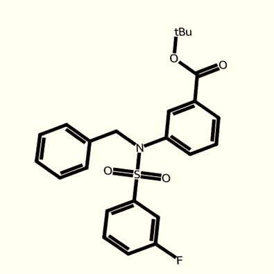 CC(C)(C)OC(=O)c1cccc(N(Cc2ccccc2)S(=O)(=O)c2cccc(F)c2)c1